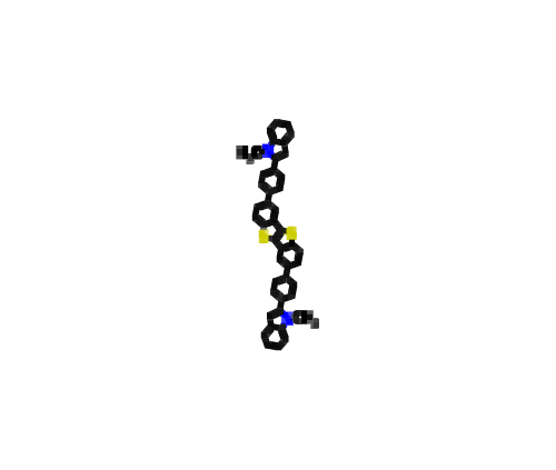 Cn1c(-c2ccc(-c3ccc4sc5c6cc(-c7ccc(-c8cc9ccccc9n8C)cc7)ccc6sc5c4c3)cc2)cc2ccccc21